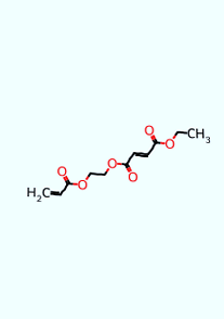 C=CC(=O)OCCOC(=O)/C=C/C(=O)OCC